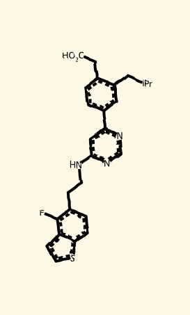 CC(C)Cc1cc(-c2cc(NCCc3ccc4sccc4c3F)ncn2)ccc1CC(=O)O